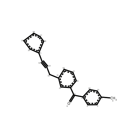 Cc1ccc(C(=O)c2cccc(CC#Cc3ccccc3)c2)cc1